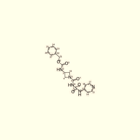 O=C(NC1CN(C(=O)NS(=O)(=O)Nc2ccncc2)C1)OCc1ccccc1